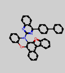 c1ccc(-c2ccc(-c3nc(N4c5ccccc5Oc5c4c4oc6ccccc6c4c4ccccc54)nc4ccccc34)cc2)cc1